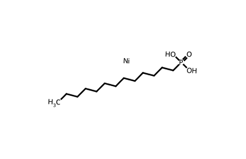 CCCCCCCCCCCCCP(=O)(O)O.[Ni]